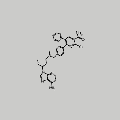 CCC(CCN(C)Cc1ccc(-c2nc(Cl)c(C(N)=O)cc2-c2ccccc2)cc1)n1cnc2c(N)ncnc21